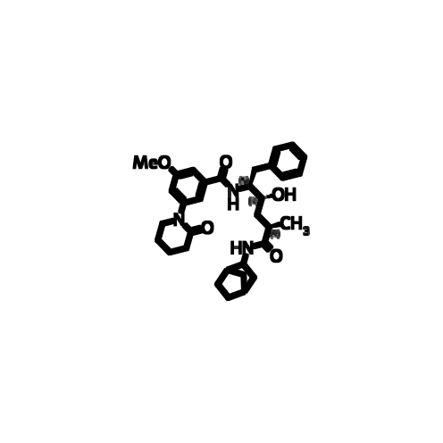 COc1cc(C(=O)N[C@@H](Cc2ccccc2)[C@H](O)C[C@@H](C)C(=O)NC2CC3CCC2C3)cc(N2CCCCC2=O)c1